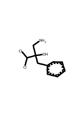 NCC(O)(Cc1ccccc1)C(Cl)Cl